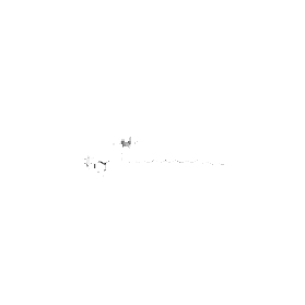 CCCCCCCCCCCCCCCCCCOC[C@H](COP(=O)(O)O)OCc1cncc(S(C)(=O)=O)c1